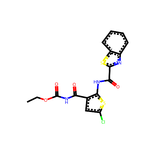 CCOC(=O)NC(=O)c1cc(Cl)sc1NC(=O)c1nc2ccccc2s1